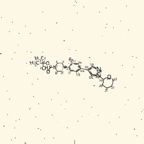 CC(C)(C)OC(=O)N1CCN(c2ccc(-c3cnn(C4CCCCO4)c3)cc2F)CC1